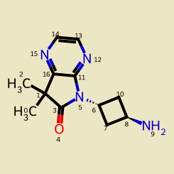 CC1(C)C(=O)N([C@H]2C[C@H](N)C2)c2nccnc21